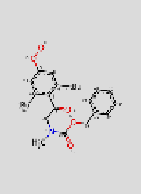 CN(CC(=O)c1c(C(C)(C)C)[c]c(O[O])cc1C(C)(C)C)C(=O)OCc1ccccc1